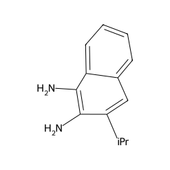 CC(C)c1cc2ccccc2c(N)c1N